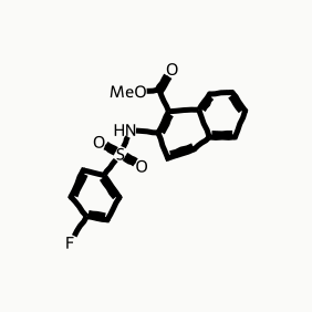 COC(=O)c1c(NS(=O)(=O)c2ccc(F)cc2)ccc2ccccc12